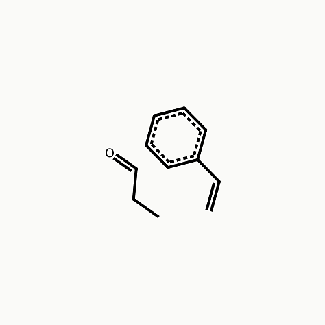 C=Cc1ccccc1.CCC=O